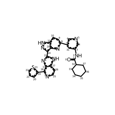 O=C(Nc1cncc(-c2ccc3[nH]nc(-c4nc5c(-c6cccs6)nccc5[nH]4)c3n2)c1)C1CCCCC1